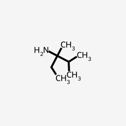 CCC(C)(N)C(C)C